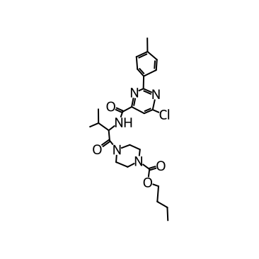 CCCCOC(=O)N1CCN(C(=O)C(NC(=O)c2cc(Cl)nc(-c3ccc(C)cc3)n2)C(C)C)CC1